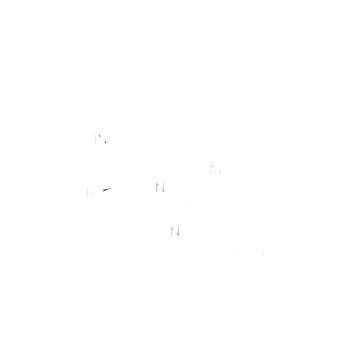 CC(=O)c1cc(C2CC2)cnc1N1CCC(NC2CCCCC2)[C@H](O)C1